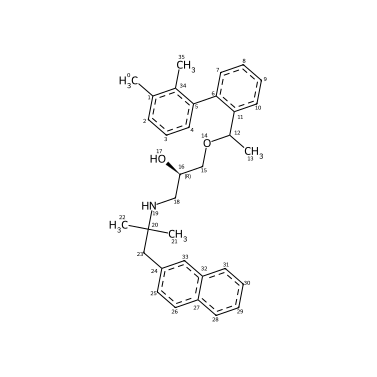 Cc1cccc(-c2ccccc2C(C)OC[C@H](O)CNC(C)(C)Cc2ccc3ccccc3c2)c1C